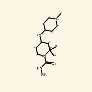 CCCCNC(=O)N1CCC(OC2CCN(C)CC2)CC1(C)C